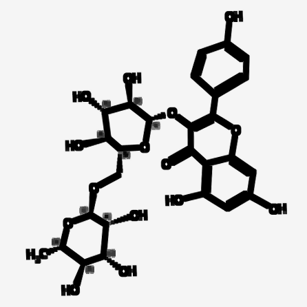 C[C@@H]1O[C@@H](OC[C@H]2O[C@@H](Oc3c(-c4ccc(O)cc4)oc4cc(O)cc(O)c4c3=O)[C@H](O)[C@@H](O)[C@@H]2O)[C@H](O)[C@H](O)[C@H]1O